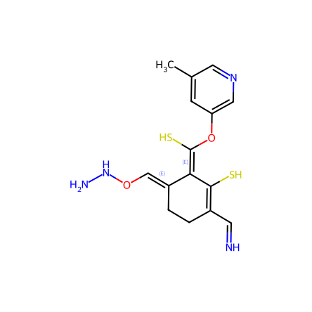 Cc1cncc(O/C(S)=C2\C(S)=C(C=N)CC\C2=C/ONN)c1